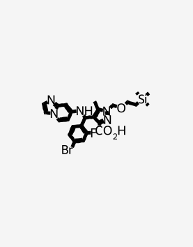 Cc1c(C(Nc2ccn3ccnc3c2)c2ccc(Br)cc2F)c(C(=O)O)nn1COCC[Si](C)(C)C